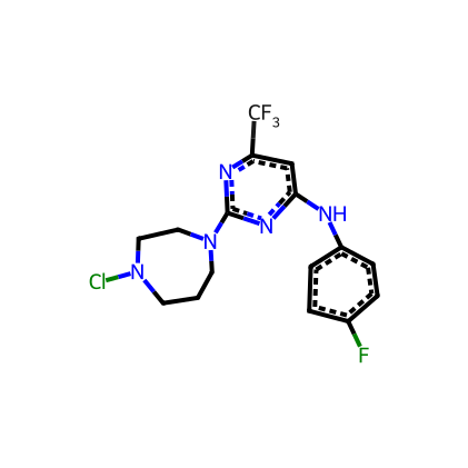 Fc1ccc(Nc2cc(C(F)(F)F)nc(N3CCCN(Cl)CC3)n2)cc1